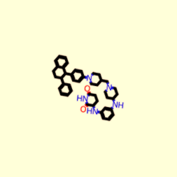 O=C1CCC(Nc2cccc(NC3CCN(CC4CCN(c5ccc(C6c7ccccc7CCC6c6ccccc6)cc5)CC4)CC3)c2)C(=O)N1